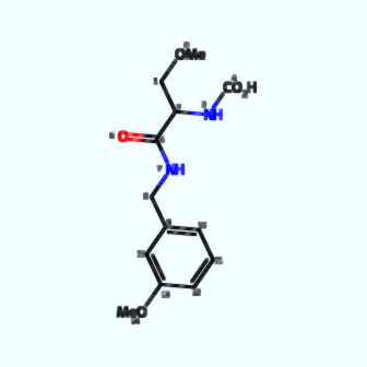 COCC(NC(=O)O)C(=O)NCc1cccc(OC)c1